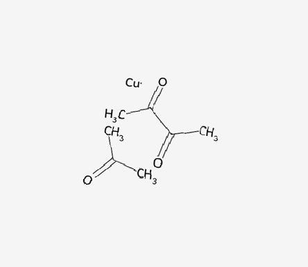 CC(=O)C(C)=O.CC(C)=O.[Cu]